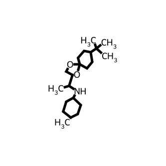 CC1CCC(NC(C)C2COC3(CCC(C(C)(C)C)CC3)O2)CC1